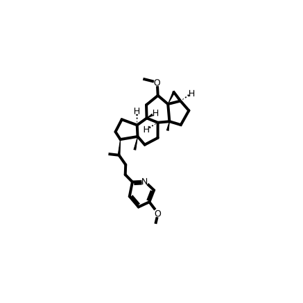 COc1ccc(CCC(C)[C@H]2CC[C@H]3[C@@H]4CC(OC)[C@]56C[C@H]5CC[C@]6(C)[C@H]4CC[C@]23C)nc1